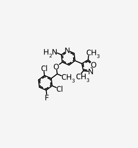 Cc1noc(C)c1-c1cnc(N)c(OC(C)c2c(Cl)ccc(F)c2Cl)c1